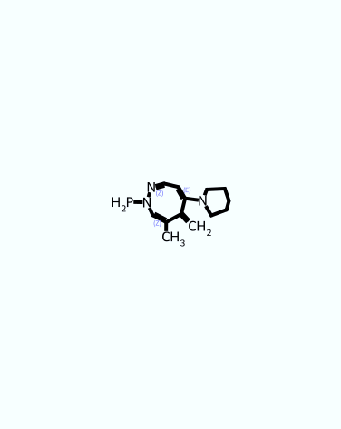 C=C1/C(C)=C\N(P)/N=C\C=C/1N1CCCCC1